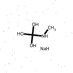 CNC(O)(O)O.[NaH]